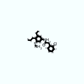 CCCc1c(CC)cc(NC(=O)Cc2ccccc2Cl)cc1SN